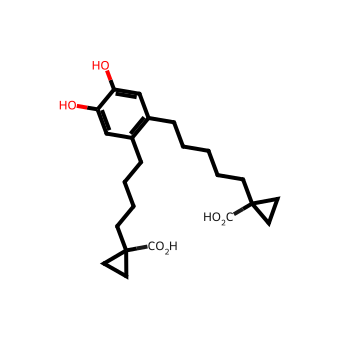 O=C(O)C1(CCCCCc2cc(O)c(O)cc2CCCCC2(C(=O)O)CC2)CC1